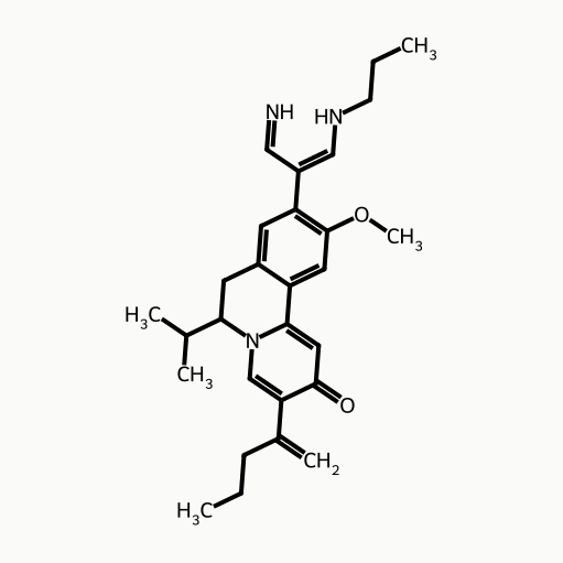 C=C(CCC)c1cn2c(cc1=O)-c1cc(OC)c(/C(C=N)=C/NCCC)cc1CC2C(C)C